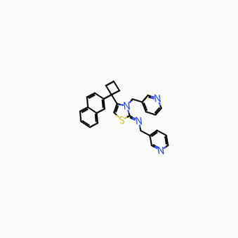 c1cncc(CN=c2scc(C3(c4ccc5ccccc5c4)CCC3)n2Cc2cccnc2)c1